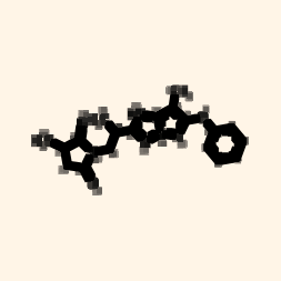 Cc1c(Oc2ccccc2)nn2nc(C(C)CN3C(=O)CC(C)C3=O)[nH]c12